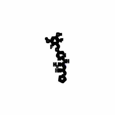 COc1cc(OC)c(F)c(COc2cnc(N/C(N)=C/C(=N)CN3CCCC3)nc2)c1F